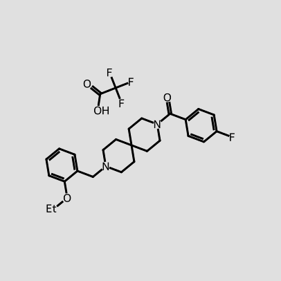 CCOc1ccccc1CN1CCC2(CC1)CCN(C(=O)c1ccc(F)cc1)CC2.O=C(O)C(F)(F)F